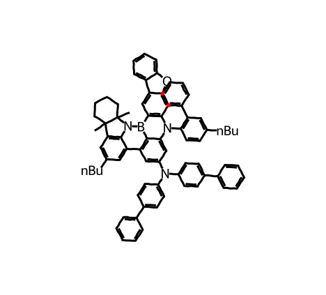 CCCCc1ccc(N2c3cc4oc5ccccc5c4cc3B3c4c(cc(N(c5ccc(-c6ccccc6)cc5)c5ccc(-c6ccccc6)cc5)cc42)-c2cc(CCCC)cc4c2N3C2(C)CCCCC42C)c(-c2ccccc2)c1